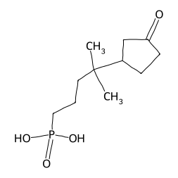 CC(C)(CCCP(=O)(O)O)C1CCC(=O)C1